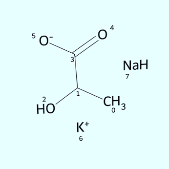 CC(O)C(=O)[O-].[K+].[NaH]